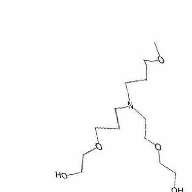 COCCCN(CCCOCCO)CCOCCO